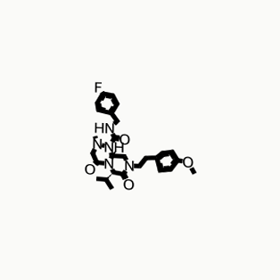 COc1ccc(CCN2C[C@H]3N(C(=O)CN(C)N3C(=O)NCc3ccc(F)cc3)[C@@H](C(C)C)C2=O)cc1